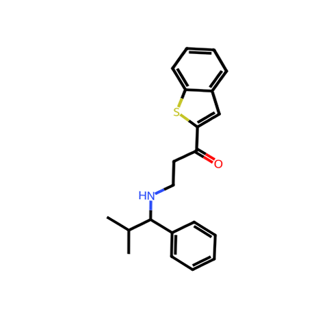 CC(C)C(NCCC(=O)c1cc2ccccc2s1)c1ccccc1